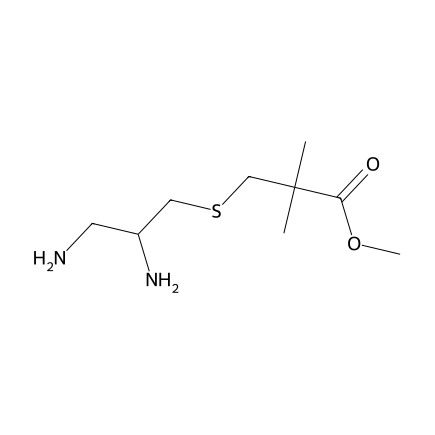 COC(=O)C(C)(C)CSCC(N)CN